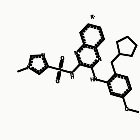 COc1ccc(CC2CCCC2)c(Nc2nc3ccccc3nc2NS(=O)(=O)c2cn(C)cn2)c1.[K]